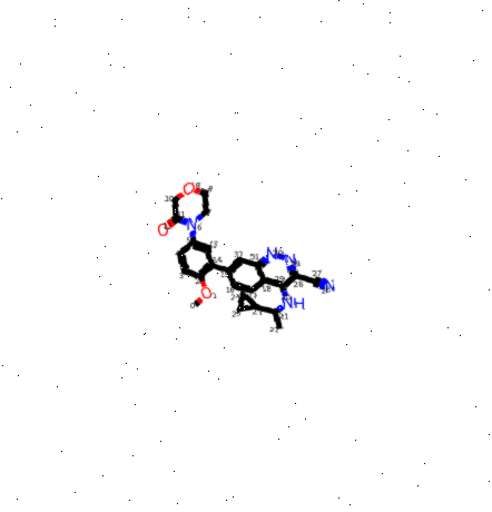 COc1ccc(N2CCOCC2=O)cc1-c1ccc2c(NC(C)C3CC3)c(C#N)nnc2c1